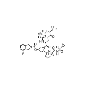 C/C=C(\C)C(=O)CC[C@H](NC(=O)OC(C)(C)C)C(=O)N1C[C@H](OC(=O)N2Cc3cccc(F)c3C2)CC1C(=O)N[C@]1(C(=O)NS(=O)(=O)C2CC2)C[C@H]1CC